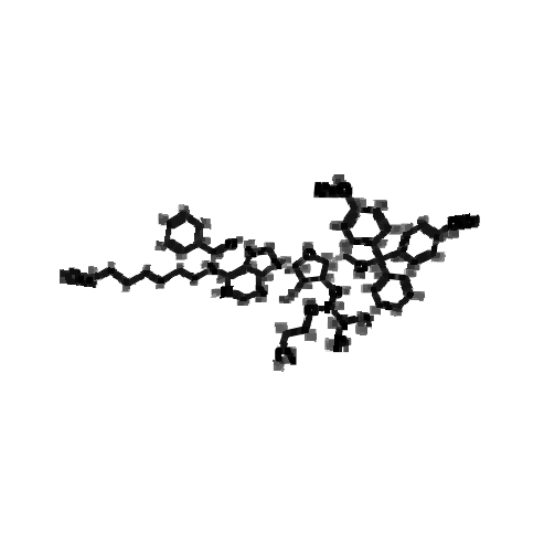 CCCCCCCCCCCCCCCCN(C(=O)c1ccccc1)c1ncnc2c1ncn2[C@@H]1O[C@H](COC(c2ccccc2)(c2ccc(OC)cc2)c2ccc(OC)cc2)C(OP(OCCC#N)N(C(C)C)C(C)C)C1F